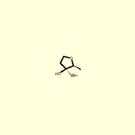 C[C@@H]1OCC[C@@]1(O)C(C)(C)C